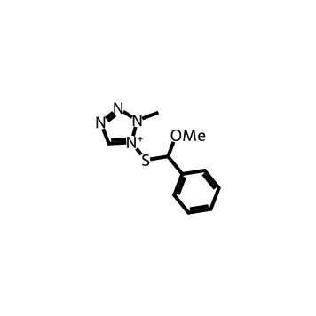 COC(S[n+]1cnnn1C)c1ccccc1